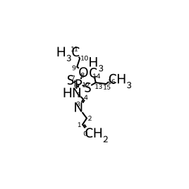 C=CCN=CNP(=S)(OCCC)SC(C)CC